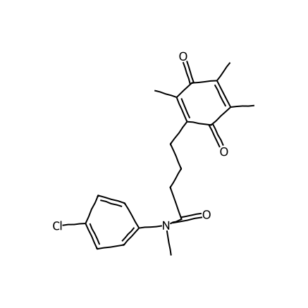 CC1=C(C)C(=O)C(CCCC(=O)N(C)c2ccc(Cl)cc2)=C(C)C1=O